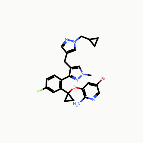 Cn1cc(Cc2cnn(CC3CC3)c2)c(-c2ccc(F)cc2C2(Oc3cc(Br)cnc3N)CC2)n1